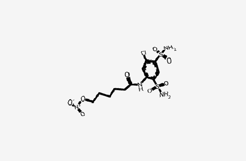 NS(=O)(=O)c1cc(S(N)(=O)=O)c(NC(=O)CCCCCO[N+](=O)[O-])cc1Cl